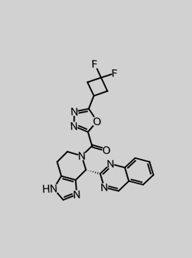 O=C(c1nnc(C2CC(F)(F)C2)o1)N1CCc2[nH]cnc2[C@H]1c1ncc2ccccc2n1